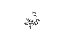 OC[C@H]1O[C@@H](Oc2cccc3occ(CCc4ccncc4)c23)[C@H](O)[C@@H](O)[C@@H]1O